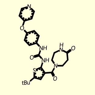 CC(C)(C)c1cc(C(=O)N2CCNC(=O)CC2)c(NC(=O)Nc2ccc(Oc3ccncc3)cc2)s1